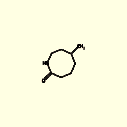 CC1CCCC(=O)NCC1